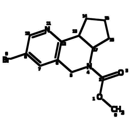 COC(=O)N1Cc2cc(Br)cnc2C2CCCC21